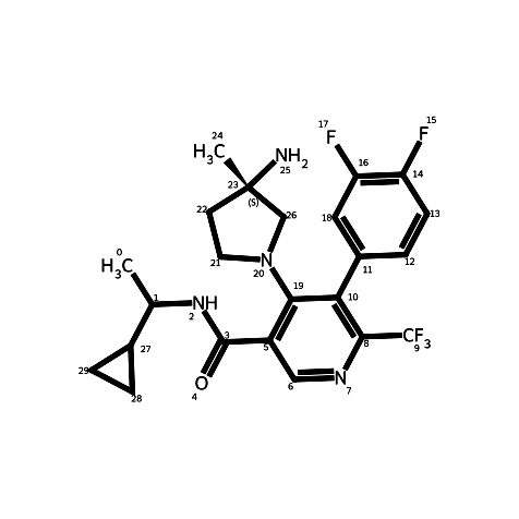 CC(NC(=O)c1cnc(C(F)(F)F)c(-c2ccc(F)c(F)c2)c1N1CC[C@](C)(N)C1)C1CC1